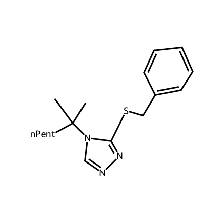 CCCCCC(C)(C)n1cnnc1SCc1ccccc1